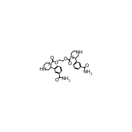 NC(=O)c1cccc(C2CNCCN2C(=O)OCCOC(=O)N2CCNCC2c2cccc(C(N)=O)c2)c1